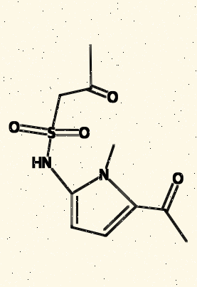 CC(=O)CS(=O)(=O)Nc1ccc(C(C)=O)n1C